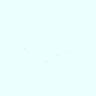 Cc1cc(C(=O)C2CC2)ccc1COc1cccc(N2CCN(C(=O)OC(C)(C)C)C(C)C2)n1